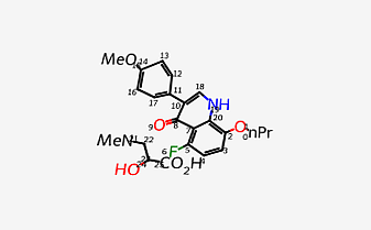 CCCOc1ccc(F)c2c(=O)c(-c3ccc(OC)cc3)c[nH]c12.CNCC(O)C(=O)O